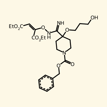 CCOC(=O)/C=C(/ONC(=N)C1(OCCCO)CCN(C(=O)OCc2ccccc2)CC1)C(=O)OCC